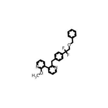 COc1ncccc1-c1cccnc1Cc1ccc(C(F)(F)COCc2ccccc2)cc1